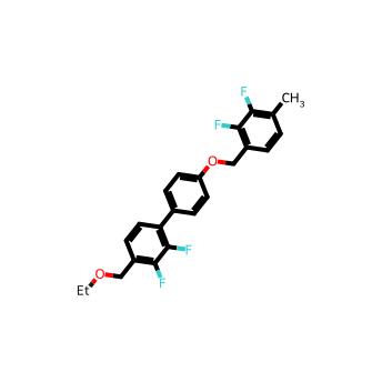 CCOCc1ccc(-c2ccc(OCc3ccc(C)c(F)c3F)cc2)c(F)c1F